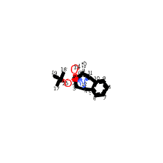 C[C@H]1CCC2c3ccccc3C1N2C(=O)OC(C)(C)C